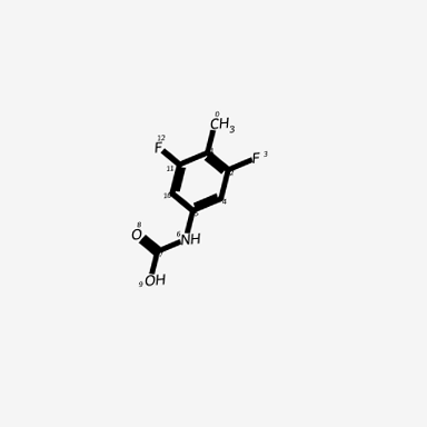 Cc1c(F)cc(NC(=O)O)cc1F